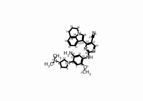 COc1cc(N2CC[C@@H](N(C)C)C2)c(N)cc1Nc1ncc(C#N)c(-c2cn3c4c(cccc24)CCC3)n1